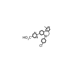 Cc1ncc2n1-c1ccc(-c3ncc(C(=O)O)cn3)cc1N(c1ccc(Cl)cc1)CC2